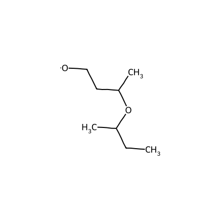 CCC(C)OC(C)CC[O]